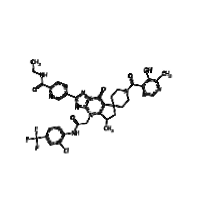 CCNC(=O)c1ccc(-c2nc3n(CC(=O)Nc4ccc(C(F)(F)F)cc4Cl)c4c(c(=O)n3n2)C2(CCN(C(=O)c3ncnc(C)c3O)CC2)CC4C)cn1